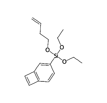 C=CCCO[Si](OCC)(OCC)c1ccc2c(c1)C=C2